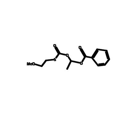 COCCSC(=O)OC(C)OC(=O)c1ccccc1